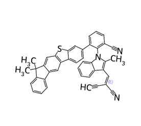 C#C/C(C#N)=C\c1c(C)n(-c2c(C#N)cccc2-c2ccc3c(c2)sc2cc4c(cc23)-c2ccccc2C4(C)C)c2ccccc12